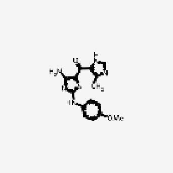 COc1ccc(Nc2nc(N)c(C(=O)c3[nH]cnc3C)s2)cc1